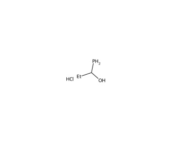 CCC(O)P.Cl